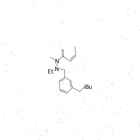 C=C(/C=C\C)N(C)N(CC)Cc1cccc(CC(C)CC)c1